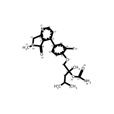 CC(C)CC(C)(COc1ccc(-c2ccnc3c2C(=O)N(C)C3)cc1F)OC(N)=O